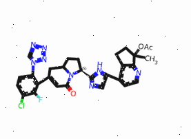 CC(=O)OC1(C)CCc2c(-c3cnc([C@@H]4CCC5CC(c6c(-n7cnnn7)ccc(Cl)c6F)=CC(=O)N54)[nH]3)ccnc21